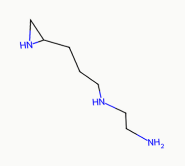 NCCNCCCC1CN1